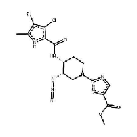 COC(=O)c1cnc(N2CC[C@@H](NC(=O)c3[nH]c(C)c(Cl)c3Cl)[C@@H](N=[N+]=[N-])C2)s1